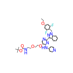 CCOc1cc(F)c(Cn2nc(-c3ncc(OCCOCCNC(=O)OC(C)(C)C)c(Nc4ccncc4)n3)c3ccccc32)c(F)c1